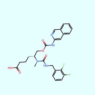 CN(C(=O)NCc1cccc(F)c1F)[C@H](CCCC(=O)O)COC(=O)Nc1cc2ccccc2cn1